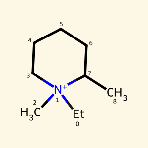 CC[N+]1(C)CCCCC1C